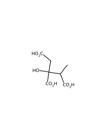 CC(C(=O)O)C(O)(CC(=O)O)C(=O)O